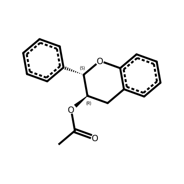 CC(=O)O[C@@H]1Cc2ccccc2O[C@H]1c1ccccc1